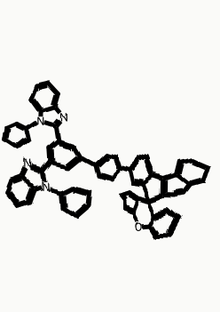 c1ccc(-n2c(-c3cc(-c4ccc(-c5ccc6c(c5)C5(c7ccccc7Oc7ccccc75)c5ccc7ccccc7c5-6)cc4)cc(-c4nc5ccccc5n4-c4ccccc4)c3)nc3ccccc32)cc1